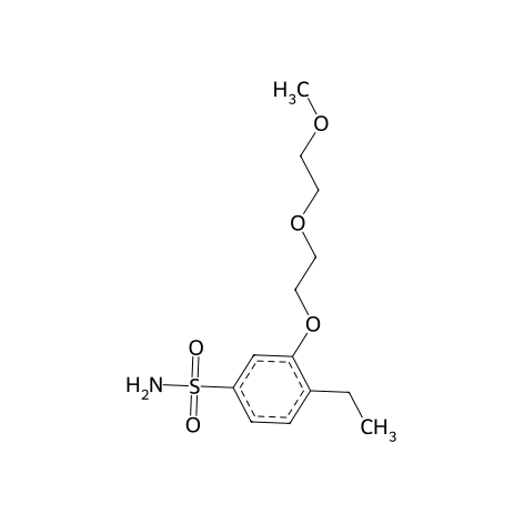 CCc1ccc(S(N)(=O)=O)cc1OCCOCCOC